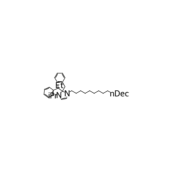 CCCCCCCCCCCCCCCCCCCN1C=CN(C(C)C)C1(Cc1ccccc1)C(CC)c1ccccc1